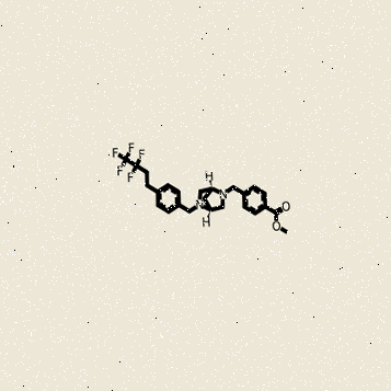 COC(=O)c1ccc(CN2C[C@@H]3C[C@H]2CN3Cc2ccc(CCC(F)(F)C(F)(F)F)cc2)cc1